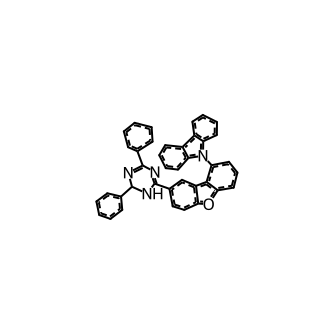 c1ccc(C2=NC(c3ccccc3)NC(c3ccc4oc5cccc(-n6c7ccccc7c7ccccc76)c5c4c3)=N2)cc1